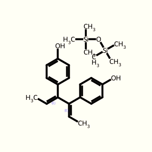 C/C=C(/C(=C/C)c1ccc(O)cc1)c1ccc(O)cc1.C[Si](C)(C)O[Si](C)(C)C